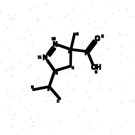 CC(C)C1CC(C)(C(=O)O)N=N1